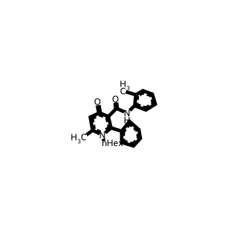 CCCCCCn1c(C)cc(=O)c(C(=O)Nc2ccccc2C)c1-c1ccccc1